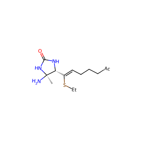 CCS/C(=C\CCCC(C)=O)[C@H]1NC(=O)N[C@]1(C)N